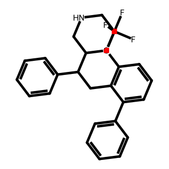 FC(F)(F)Oc1cccc(-c2ccccc2)c1CC(c1ccccc1)C1CNCCO1